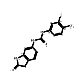 O=C1Cc2ccc(NC(=O)Nc3ccc(C(F)(F)F)c(Cl)c3)cc2N1